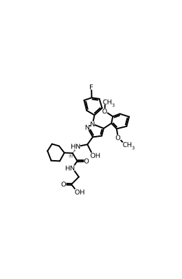 COc1cccc(OC)c1-c1cc(C(O)N[C@H](C(=O)NCC(=O)O)C2CCCCC2)nn1-c1ccc(F)cc1